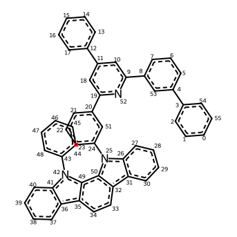 c1ccc(-c2cccc(-c3cc(-c4ccccc4)cc(-c4cccc(-n5c6ccccc6c6ccc7c8ccccc8n(-c8ccccc8)c7c65)c4)n3)c2)cc1